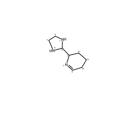 C1=NC([C]2NCCN2)CCC1